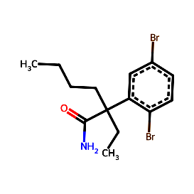 CCCCC(CC)(C(N)=O)c1cc(Br)ccc1Br